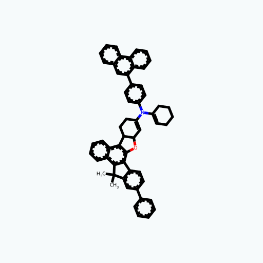 CC1(C)c2cc(-c3ccccc3)ccc2-c2c3c(c4ccccc4c21)C1CCC(N(C2=CCCCC2)c2ccc(-c4cc5ccccc5c5ccccc45)cc2)=CC1O3